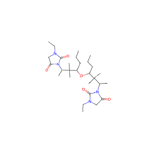 CCCC(OC(CCC)C(C)(C)C(C)N1C(=O)CN(CC)C1=O)C(C)(C)C(C)N1C(=O)CN(CC)C1=O